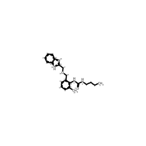 CCCCNC(=O)Nc1c(C)cccc1COCc1nc2ccccc2[nH]1